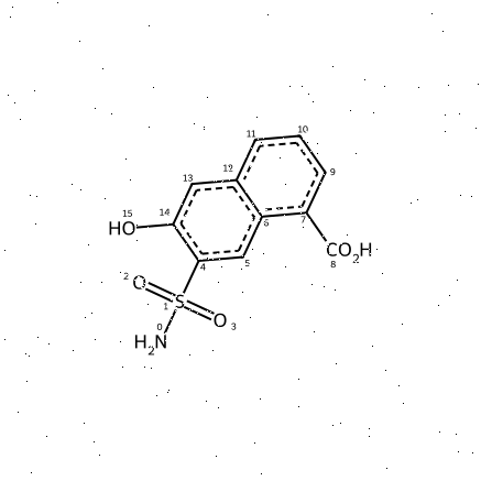 NS(=O)(=O)c1cc2c(C(=O)O)cccc2cc1O